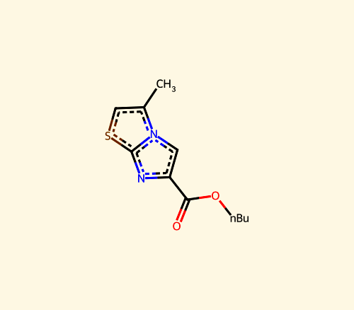 CCCCOC(=O)c1cn2c(C)csc2n1